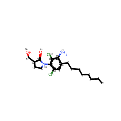 CCCCCCCCc1cc(Cl)c(N2CCC(CO)C2=O)c(Cl)c1N